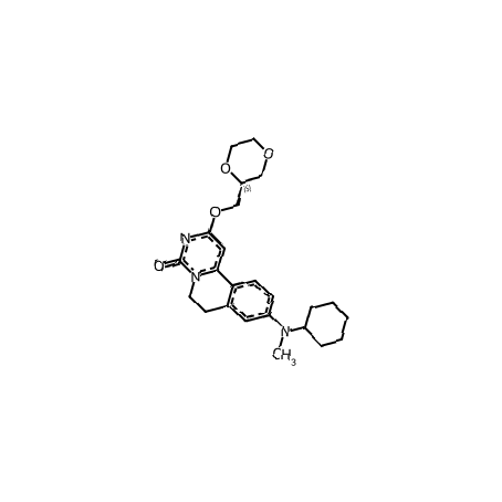 CN(c1ccc2c(c1)CCn1c-2cc(OC[C@@H]2COCCO2)nc1=O)C1CCCCC1